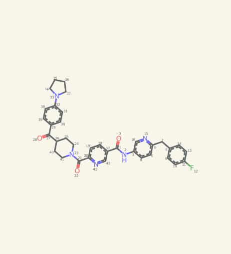 O=C(Nc1ccc(Cc2ccc(F)cc2)nc1)c1ccc(C(=O)N2CCC(C(=O)c3ccc(N4CCCC4)cc3)CC2)nc1